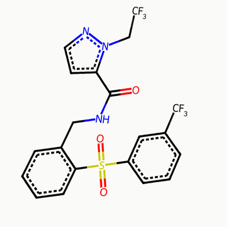 O=C(NCc1ccccc1S(=O)(=O)c1cccc(C(F)(F)F)c1)c1ccnn1CC(F)(F)F